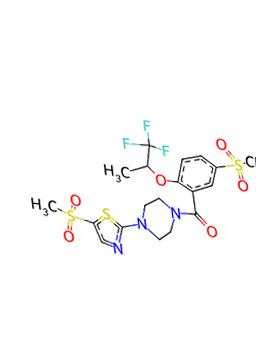 CC(Oc1ccc(S(C)(=O)=O)cc1C(=O)N1CCN(c2ncc(S(C)(=O)=O)s2)CC1)C(F)(F)F